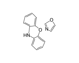 c1ccc2c(c1)Nc1ccccc1O2.c1cocn1